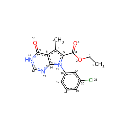 CCOC(=O)c1c(C)c2c(=O)[nH]cnc2n1-c1cccc(Cl)c1